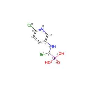 O=P(O)(O)C(Br)Nc1ccc(Cl)nc1